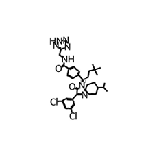 CC(C)C1CCC2(CC1)N=C(c1cc(Cl)cc(Cl)c1)C(=O)N2[C@H](CCC(C)(C)C)c1ccc(C(=O)NCc2nn[nH]n2)cc1